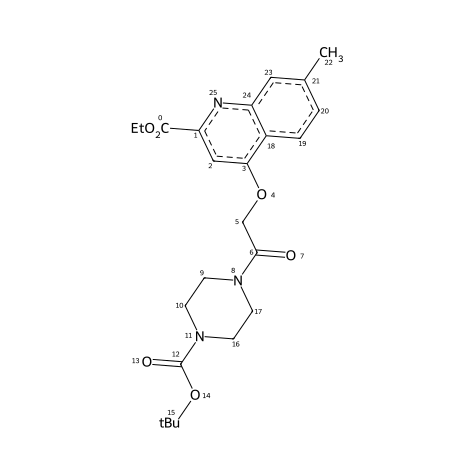 CCOC(=O)c1cc(OCC(=O)N2CCN(C(=O)OC(C)(C)C)CC2)c2ccc(C)cc2n1